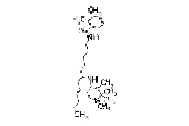 CCCCCCC(CCCCCNC(=O)c1cccc(C)c1C)NC1CCN(C)C(C)(C)C1C